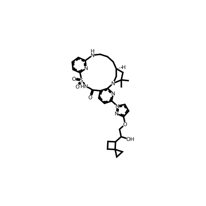 CC1(C)C[C@@H]2CCCNc3cccc(n3)S(=O)(=O)NC(=O)c3ccc(-n4ccc(OCC(O)C5CCC56CC6)n4)nc3N1C2